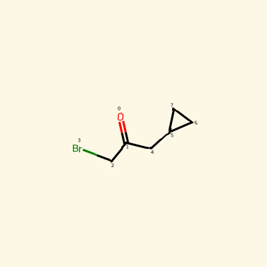 O=C(CBr)CC1CC1